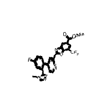 COC(=O)c1cc(C(F)(F)F)c2oc(-c3cc(-c4ccc(F)cc4-c4nncn4C)ccn3)nc2c1